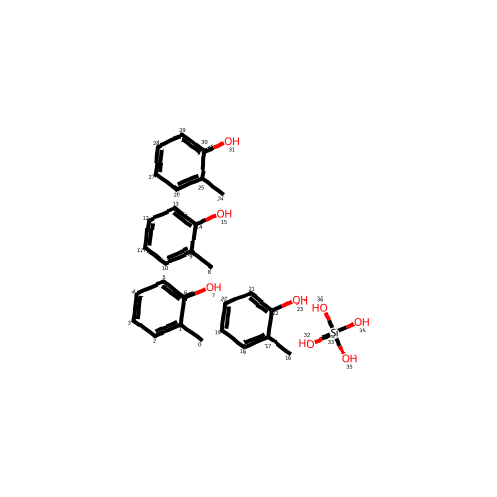 Cc1ccccc1O.Cc1ccccc1O.Cc1ccccc1O.Cc1ccccc1O.O[Si](O)(O)O